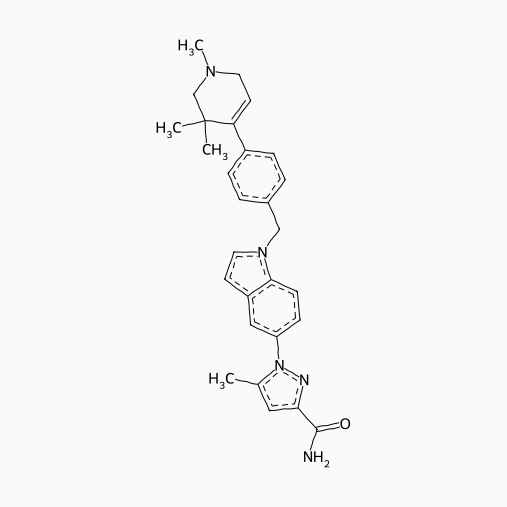 Cc1cc(C(N)=O)nn1-c1ccc2c(ccn2Cc2ccc(C3=CCN(C)CC3(C)C)cc2)c1